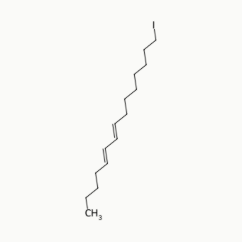 CCCCC=CC=CCCCCCCCI